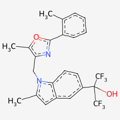 Cc1ccccc1-c1nc(Cn2c(C)cc3cc(C(O)(C(F)(F)F)C(F)(F)F)ccc32)c(C)o1